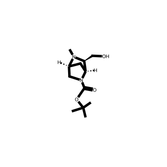 CN1[C@H]2C[C@@H]([C@@H]1CO)N(C(=O)OC(C)(C)C)C2